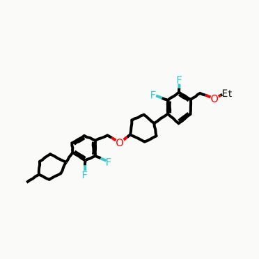 CCOCc1ccc(C2CCC(OCc3ccc(C4CCC(C)CC4)c(F)c3F)CC2)c(F)c1F